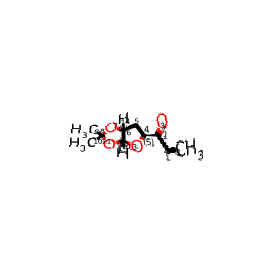 CCC(=O)[C@@H]1C[C@H]2OC(C)(C)O[C@H]2O1